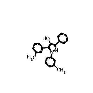 Cc1cccc(-c2c(O)c(-c3ccccc3)nn2-c2cccc(C)c2)c1